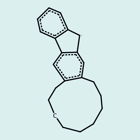 [CH]1c2ccccc2-c2cc3c(cc21)CCCCCCCCC3